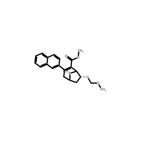 COCO[C@@H]1CC2CC(c3ccc4ccccc4c3)=C(C(=O)OC)C1N2C